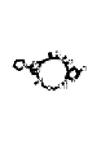 C=C1/C=C2/N=C(N3CCCC3)C=C(N(C)CCCCNc3ncc(Cl)cc3C(=O)N(C)C1CC)N2C